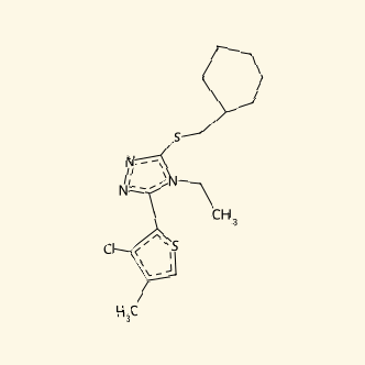 CCn1c(SCC2CCCCC2)nnc1-c1scc(C)c1Cl